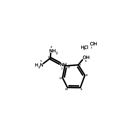 Cl.Cl.N=C(N)N.Oc1ccccc1